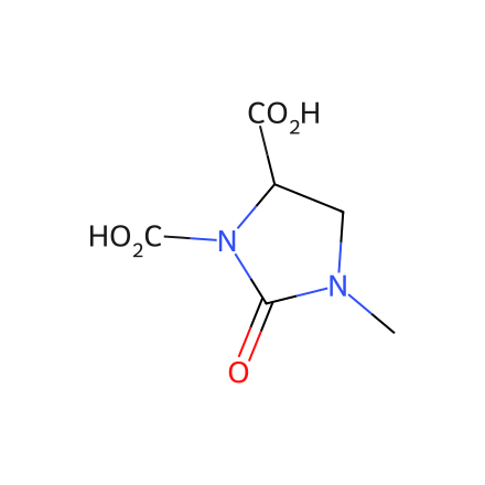 CN1CC(C(=O)O)N(C(=O)O)C1=O